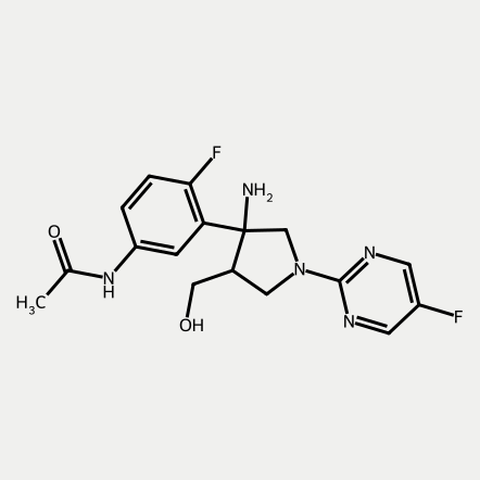 CC(=O)Nc1ccc(F)c(C2(N)CN(c3ncc(F)cn3)CC2CO)c1